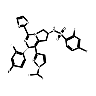 O=S(=O)(N[C@H]1CC2=C(c3ccn(C(F)F)n3)[C@H](c3ccc(F)cc3Cl)N=C(c3nccs3)N2C1)c1ccc(F)cc1F